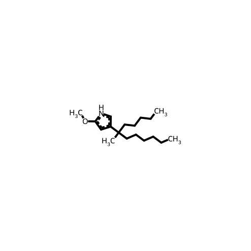 CCCCCCC(C)(CCCCC)c1c[nH]c(OC)c1